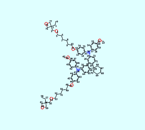 CCC1(COCCCCCCOc2ccc(N(c3ccc(OC)cc3)c3ccc(C4(c5ccc(N(c6ccc(OC)cc6)c6ccc(OCCCCCCOCC7(CC)COC7)cc6)cc5)CCCCC4)cc3)cc2)COC1